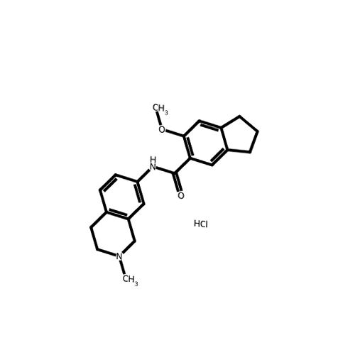 COc1cc2c(cc1C(=O)Nc1ccc3c(c1)CN(C)CC3)CCC2.Cl